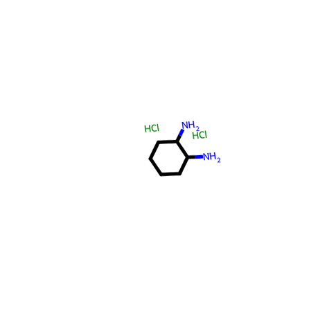 Cl.Cl.NC1CCCCC1N